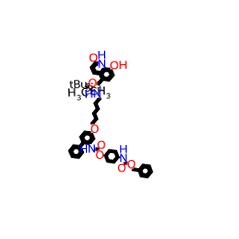 CC(C)(C)[Si](C)(C)O[C@@H](CNCCCCCCOc1ccc(-c2ccccc2)c(NC(=O)O[C@H]2CC[C@H](NC(=O)OCc3ccccc3)CC2)c1)c1ccc(O)c2[nH]c(=O)ccc12